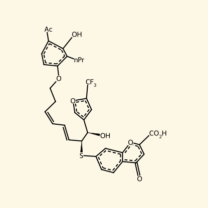 CCCc1c(OCC/C=C\C=C\[C@H](Sc2ccc3c(=O)cc(C(=O)O)oc3c2)[C@H](O)c2coc(C(F)(F)F)c2)ccc(C(C)=O)c1O